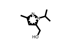 Cc1cc(CO)n(C(C)C)n1